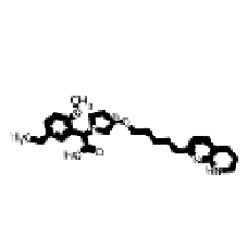 CCc1ccc(OC)c(C(C(=O)O)N2CC[C@@H](OCCCCCc3ccc4c(n3)NCCC4)C2)c1